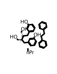 CCCC.OC[C@H](Cc1cccc(O)c1)[C@H](CO)Cc1cccc(O)c1.c1ccc(CCc2ccccc2)cc1